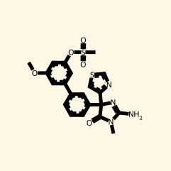 COc1cc(OS(C)(=O)=O)cc(-c2cccc(C3(c4cscn4)N=C(N)N(C)C3=O)c2)c1